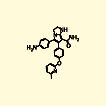 Cc1cccc(Oc2ccc(-c3c(C(N)=O)c4n(c3-c3ccc(N)cc3)CCN4)cc2)n1